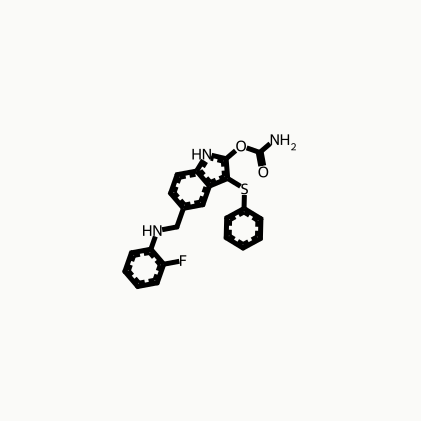 NC(=O)Oc1[nH]c2ccc(CNc3ccccc3F)cc2c1Sc1ccccc1